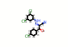 N#C/C(=N\Nc1cc(Cl)cc(Cl)c1)C(=O)c1ccc(Cl)cc1